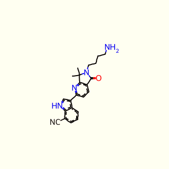 CC1(C)c2nc(-c3c[nH]c4c(C#N)cccc34)ccc2C(=O)N1CCCCN